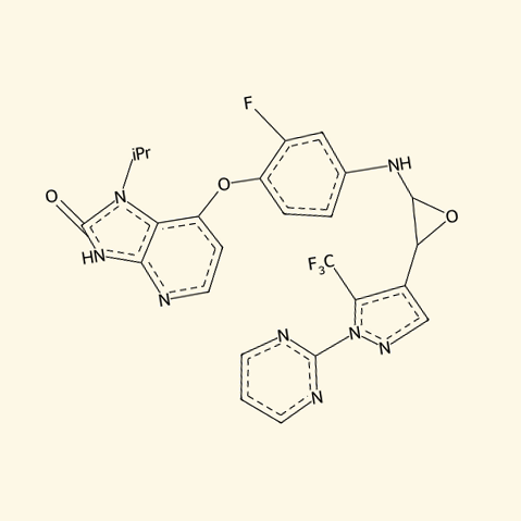 CC(C)n1c(=O)[nH]c2nccc(Oc3ccc(NC4OC4c4cnn(-c5ncccn5)c4C(F)(F)F)cc3F)c21